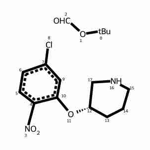 CC(C)(C)OC=O.O=[N+]([O-])c1ccc(Cl)cc1O[C@H]1CCCNC1